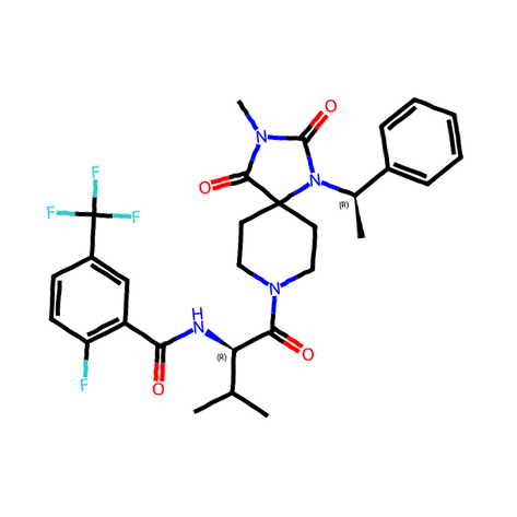 CC(C)[C@@H](NC(=O)c1cc(C(F)(F)F)ccc1F)C(=O)N1CCC2(CC1)C(=O)N(C)C(=O)N2[C@H](C)c1ccccc1